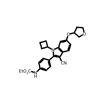 CCOC(=O)Nc1ccc(-c2c(C#N)c3ccc(OC4CCOC4)cc3n2C2CCC2)cc1